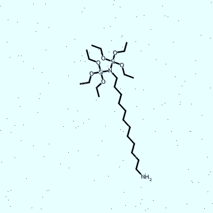 CCO[Si](OCC)(OCC)N(CCCCCCCCCCCCN)[Si](OCC)(OCC)OCC